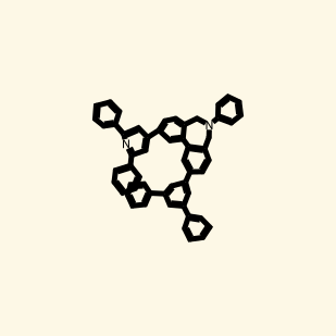 c1ccc(-c2cc(-c3ccccc3)cc(-c3ccc4c(c3)-c3cc(-c5cc(-c6ccccc6)nc(-c6ccccc6)c5)ccc3CN(c3ccccc3)C4)c2)cc1